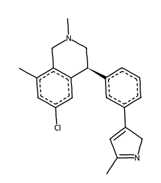 CC1=NCC(c2cccc([C@@H]3CN(C)Cc4c(C)cc(Cl)cc43)c2)=C1